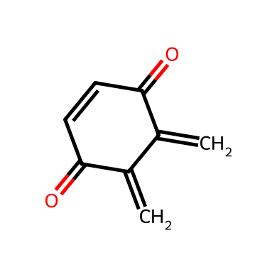 C=C1C(=C)C(=O)C=CC1=O